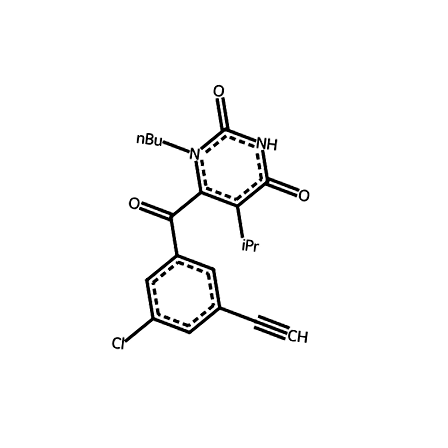 C#Cc1cc(Cl)cc(C(=O)c2c(C(C)C)c(=O)[nH]c(=O)n2CCCC)c1